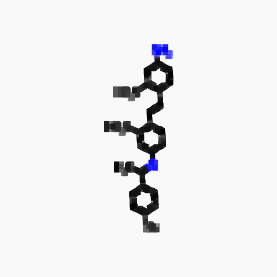 CCC(C)c1ccc(/C(C)=N/c2ccc(/C=C/c3ccc(N)cc3S(=O)(=O)O)c(S(=O)(=O)O)c2)cc1